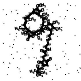 COc1cc2cc(c1Cl)N(C)C(=O)C[C@H](OC(=O)[C@H](C)N(C)C(=O)CCSSCCNC(=O)CCN1C(=O)CC(SC(=O)C(C)(C)C)C1=O)[C@@]1(C)C[C@H]1[C@H](C)[C@@H]1C[C@@](O)(NC(=O)O1)[C@H](OC)/C=C/C=C(\C)C2